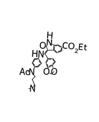 CCOC(=O)c1ccc2c(c1)NC(=O)/C2=C(\Nc1ccc(N(CCCN(C)C)C(C)=O)cc1)c1ccc2c(c1)OCO2